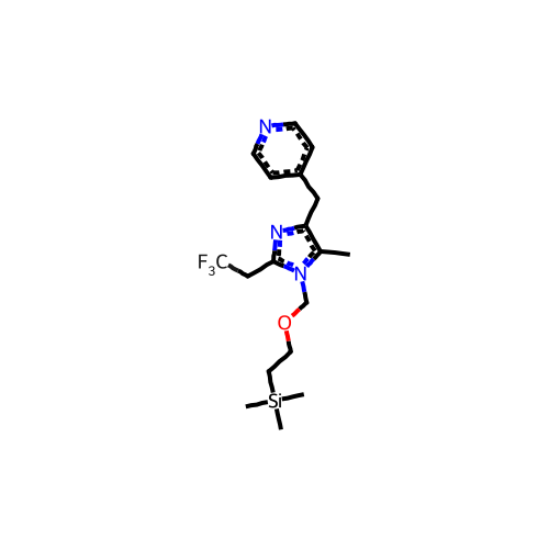 Cc1c(Cc2ccncc2)nc(CC(F)(F)F)n1COCC[Si](C)(C)C